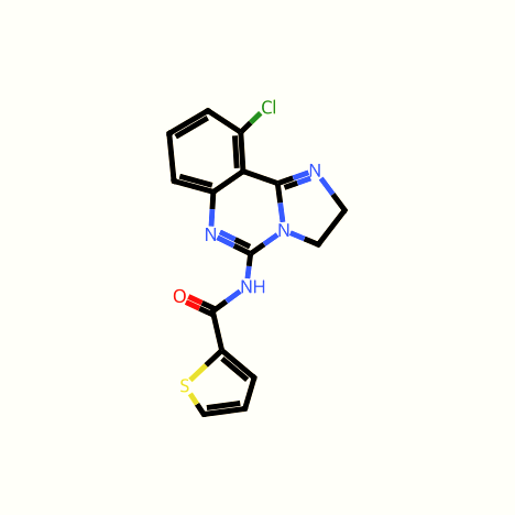 O=C(NC1=Nc2cccc(Cl)c2C2=NCCN12)c1cccs1